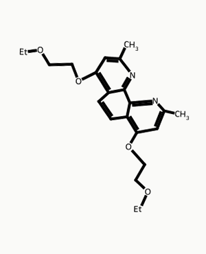 CCOCCOc1cc(C)nc2c1ccc1c(OCCOCC)cc(C)nc12